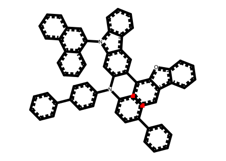 c1ccc(-c2ccc(N(c3ccc(-c4ccccc4)cc3)c3cc4c(cc3-c3cccc5c3oc3ccccc35)c3ccccc3n4-c3cc4ccccc4c4ccccc34)cc2)cc1